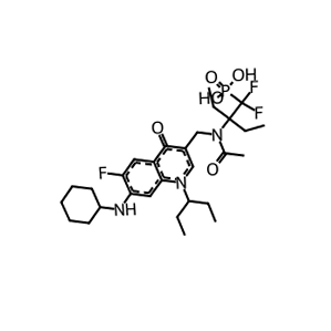 CCC(CC)n1cc(CN(C(C)=O)C(CC)(CC)C(F)(F)P(=O)(O)O)c(=O)c2cc(F)c(NC3CCCCC3)cc21